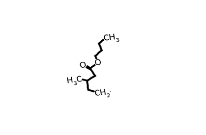 [CH2]CC(C)CC(=O)OCCCC